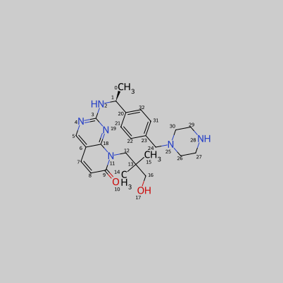 C[C@H](Nc1ncc2ccc(=O)n(CC(C)(C)CO)c2n1)c1ccc(CN2CCNCC2)cc1